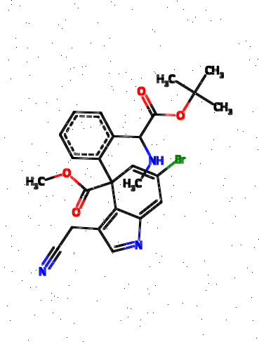 CNC(C(=O)OC(C)(C)C)c1ccccc1C1(C(=O)OC)C=C(Br)C=C2N=CC(CC#N)=C21